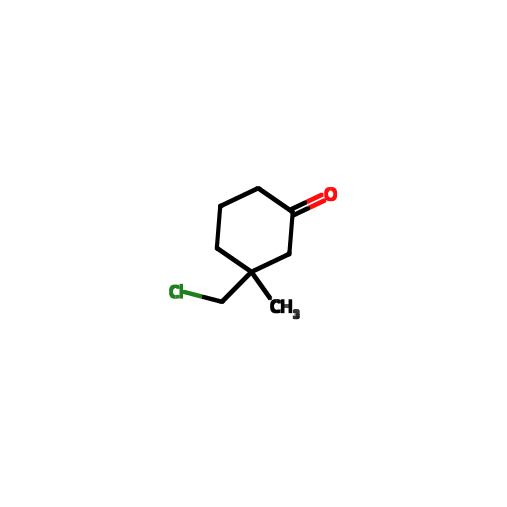 CC1(CCl)CCCC(=O)C1